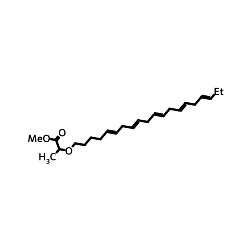 CCC=CCC=CCC=CCC=CCC=CCCCCOC(C)C(=O)OC